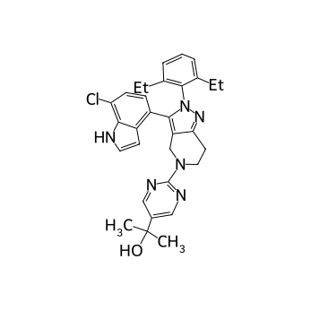 CCc1cccc(CC)c1-n1nc2c(c1-c1ccc(Cl)c3[nH]ccc13)CN(c1ncc(C(C)(C)O)cn1)CC2